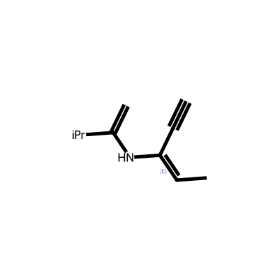 C#C/C(=C\C)NC(=C)C(C)C